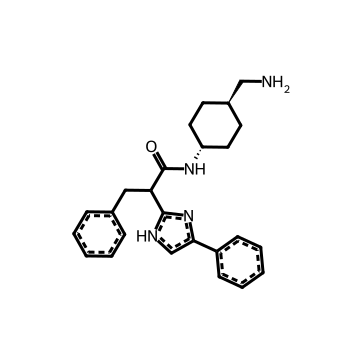 NC[C@H]1CC[C@H](NC(=O)C(Cc2ccccc2)c2nc(-c3ccccc3)c[nH]2)CC1